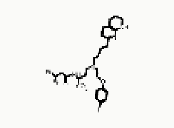 CCC(CC)CC(=O)NC(CCN(CCCCc1ccc2c(n1)NCCC2)CCOc1ccc(F)cc1)C(=O)O